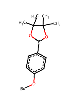 CCC(C)Oc1ccc(B2OC(C)(C)C(C)(C)O2)cc1